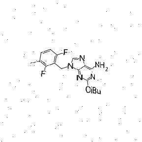 Cc1ccc(F)c(Cn2cnc3c(N)nc(OCC(C)C)nc32)c1F